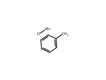 [CH2]c1ccccc1.[Cl][Mn]